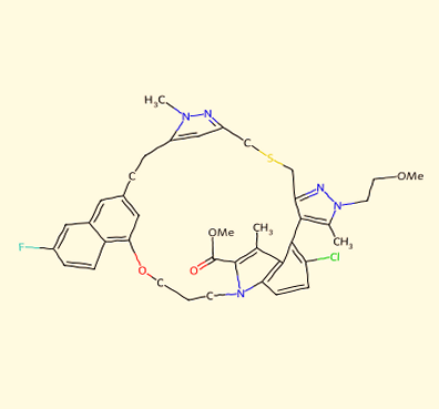 COCCn1nc2c(c1C)-c1c(Cl)ccc3c1c(C)c(C(=O)OC)n3CCCOc1cc(cc3cc(F)ccc13)CCc1cc(nn1C)CSC2